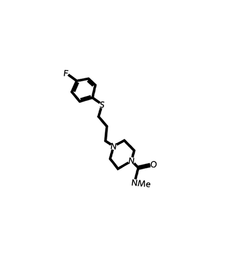 CNC(=O)N1CCN(CCCSc2ccc(F)cc2)CC1